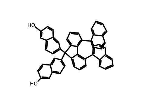 Oc1ccc2cc(C3(c4ccc5cc(O)ccc5c4)c4cccc(-c5cccc6ccccc56)c4-c4c(-c5cccc6ccccc56)cccc43)ccc2c1